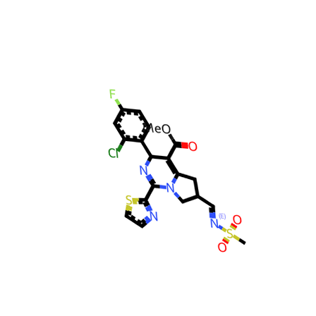 COC(=O)C1=C2CC(/C=N/S(C)(=O)=O)CN2C(c2nccs2)=NC1c1ccc(F)cc1Cl